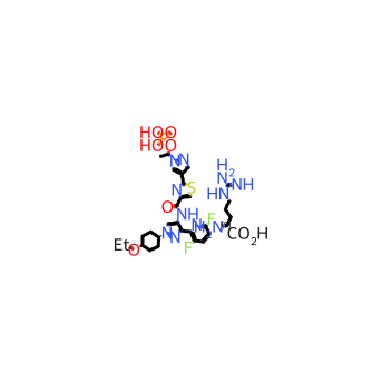 CCO[C@H]1CC[C@H](n2cc(NC(=O)c3csc(-c4cnn(C(C)OP(=O)(O)O)c4)n3)c(-c3nc(F)ccc3F)n2)CC1.N=C(N)NCCC[C@H](N)C(=O)O